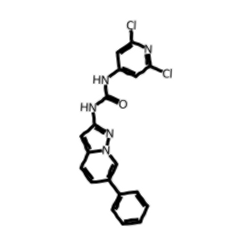 O=C(Nc1cc(Cl)nc(Cl)c1)Nc1cc2ccc(-c3ccccc3)cn2n1